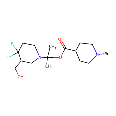 CC(C)(C)N1CCC(C(=O)OC(C)(C)N2CCC(F)(F)C(CO)C2)CC1